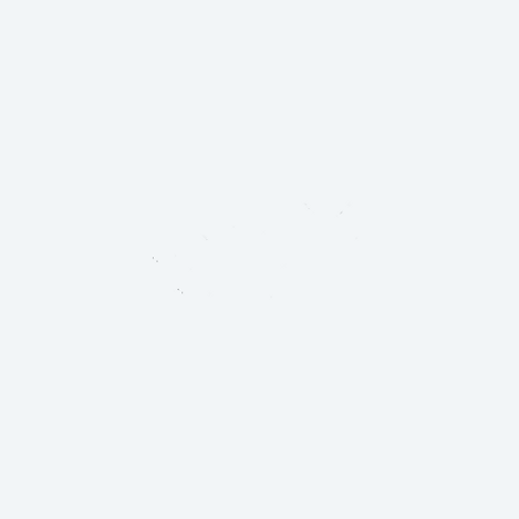 c1ccc2c(c1)-c1ccc3nccnc3c1-c1ccccc1-c1cccc(-c3cccc4c3oc3ccccc34)c1-2